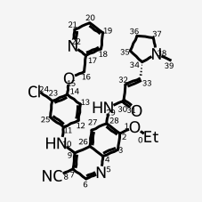 CCOc1cc2ncc(C#N)c(Nc3ccc(OCc4ccccn4)c(Cl)c3)c2cc1NC(=O)C=C[C@@H]1CCCN1C